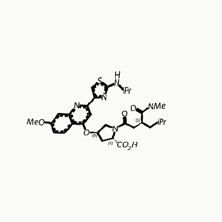 CNC(=O)[C@H](CC(=O)N1C[C@H](Oc2cc(-c3csc(NC(C)C)n3)nc3cc(OC)ccc23)C[C@H]1C(=O)O)CC(C)C